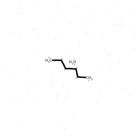 CCCCCC.O